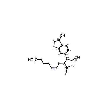 O=C(O)CCC/C=C\CC1C(=O)CC(O)C1c1ccc2c(c1)CCC2O